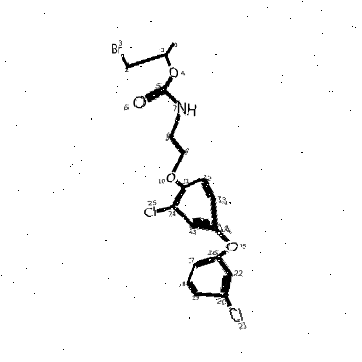 CC(CBr)OC(=O)NCCOc1ccc(Oc2cccc(Cl)c2)cc1Cl